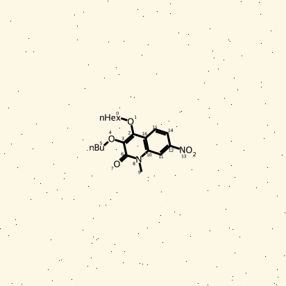 CCCCCCOc1c(OCCCC)c(=O)n(C)c2cc([N+](=O)[O-])ccc12